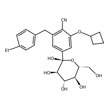 CCc1ccc(Cc2cc([C@]3(O)O[C@H](CO)[C@@H](O)[C@H](O)[C@H]3O)cc(OC3CCC3)c2C#N)cc1